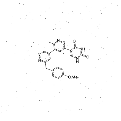 COc1ccc(Cc2cc(-c3cc(-c4c[nH]c(=O)[nH]c4=O)nnc3C)cnn2)cc1